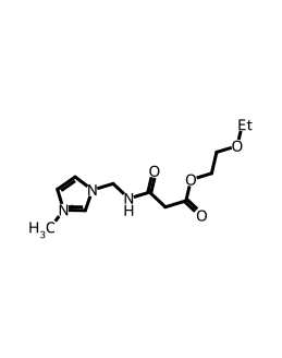 CCOCCOC(=O)CC(=O)NCn1cc[n+](C)c1